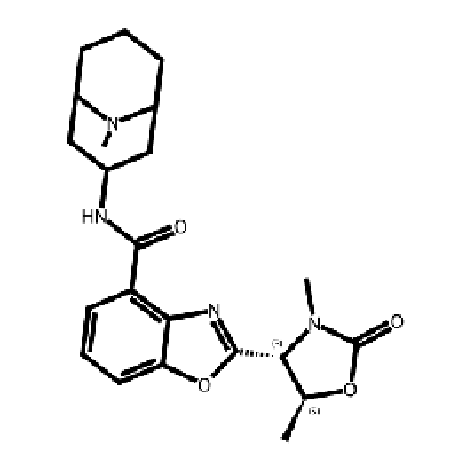 C[C@@H]1OC(=O)N(C)[C@H]1c1nc2c(C(=O)NC3CC4CCCC(C3)N4C)cccc2o1